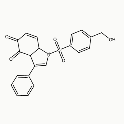 O=C1C=CC2C(C1=O)C(c1ccccc1)=CN2S(=O)(=O)c1ccc(CO)cc1